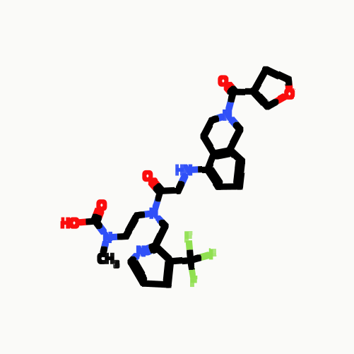 CN(CCN(Cc1ncccc1C(F)(F)F)C(=O)CNc1cccc2c1CCN(C(=O)C1CCOC1)C2)C(=O)O